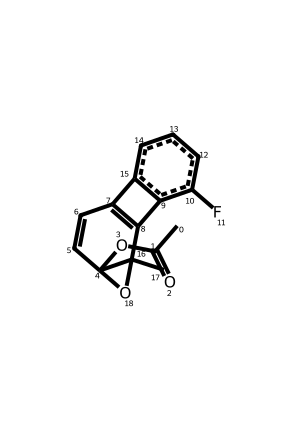 CC(=O)OC12C=CC3=C(c4c(F)cccc43)C1(C)O2